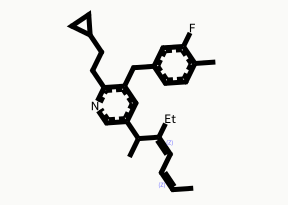 C/C=C\C=C(\CC)C(C)c1cnc(CCC2CC2)c(Cc2ccc(C)c(F)c2)c1